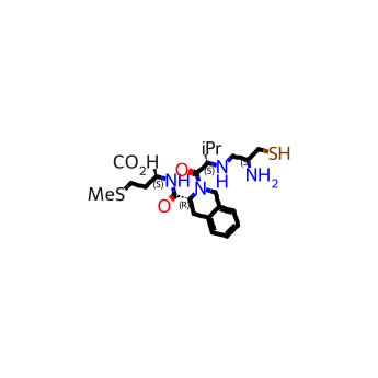 CSCC[C@H](NC(=O)[C@H]1Cc2ccccc2CN1C(=O)[C@@H](NC[C@H](N)CS)C(C)C)C(=O)O